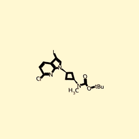 CN(C(=O)OC(C)(C)C)[C@H]1C[C@@H](n2cc(I)c3ccc(Cl)nc32)C1